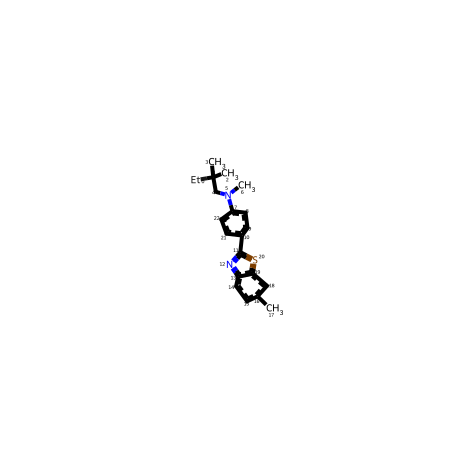 CCC(C)(C)CN(C)c1ccc(-c2nc3ccc(C)cc3s2)cc1